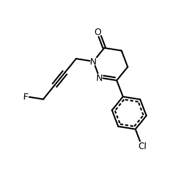 O=C1CCC(c2ccc(Cl)cc2)=NN1CC#CCF